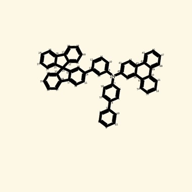 c1ccc(-c2ccc(N(c3cccc(-c4ccc5c(c4)C4(c6ccccc6-c6ccccc64)c4ccccc4-5)c3)c3ccc4c5ccccc5c5ccccc5c4c3)cc2)cc1